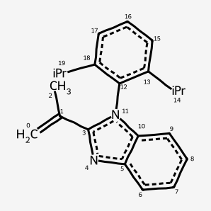 C=C(C)c1nc2ccccc2n1-c1c(C(C)C)cccc1C(C)C